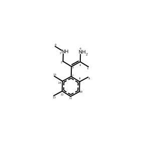 CNC/C(=C(/C)N)c1c(C)ccc(C)c1C